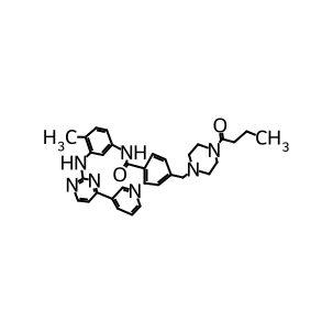 CCCC(=O)N1CCN(Cc2ccc(C(=O)Nc3ccc(C)c(Nc4nccc(-c5cccnc5)n4)c3)cc2)CC1